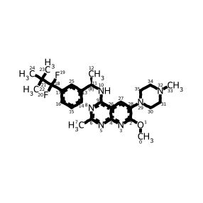 COc1nc2nc(C)nc(N[C@H](C)c3cccc(C(F)(F)C(C)(C)C)c3)c2cc1N1CCN(C)CC1